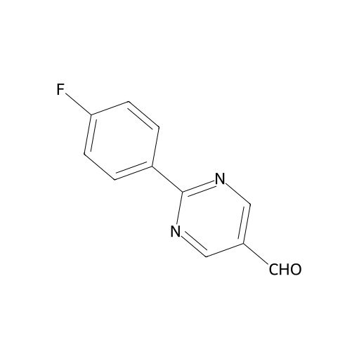 O=Cc1cnc(-c2ccc(F)cc2)nc1